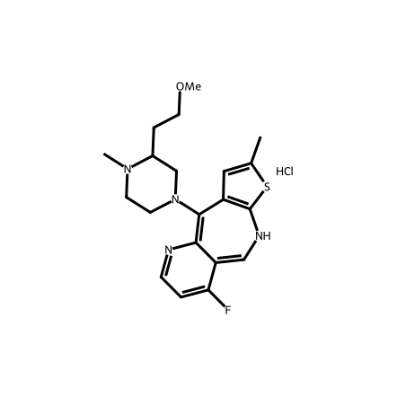 COCCC1CN(C2=c3nccc(F)c3=CNc3sc(C)cc32)CCN1C.Cl